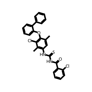 Cc1cc(NC(=S)NC(=O)c2ccccc2Cl)c(C)c(Cl)c1Oc1ccccc1-c1ccccc1